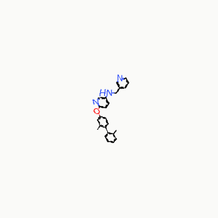 Cc1ccccc1-c1ccc(Oc2ccc(NCc3cccnc3)cn2)cc1C